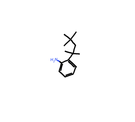 CC(C)(C)CC(C)(C)c1ccccc1N